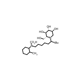 CC1CCCCC1N(CCCCCC(N1C[C@H](O)[C@@H](O)[C@H](O)[C@H]1CO)C(C)(C)C)C(=O)O